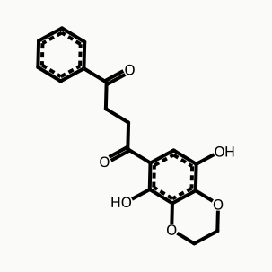 O=C(CCC(=O)c1cc(O)c2c(c1O)OCCO2)c1ccccc1